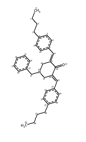 CCCCc1ccc(C=C2CN(Cc3ccccc3)CC(=Cc3ccc(CCCC)cc3)C2=O)cc1